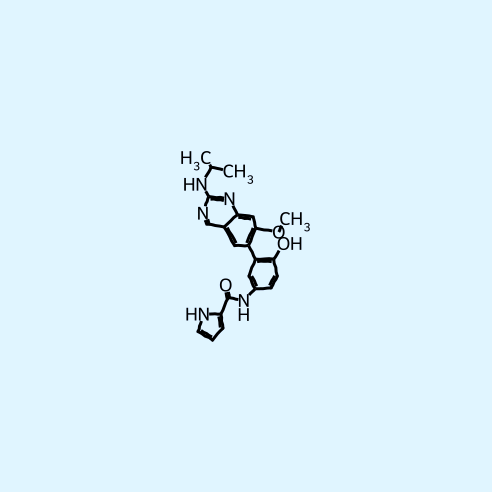 COc1cc2nc(NC(C)C)ncc2cc1-c1cc(NC(=O)c2ccc[nH]2)ccc1O